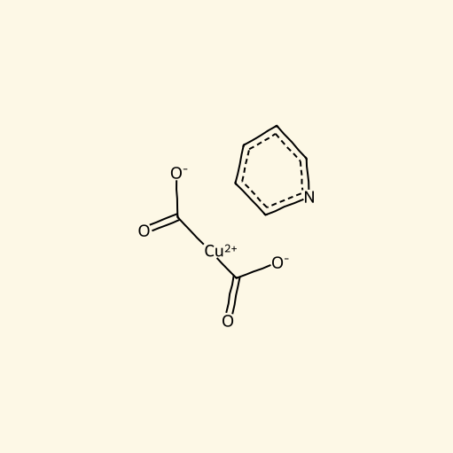 O=[C]([O-])[Cu+2][C](=O)[O-].c1ccncc1